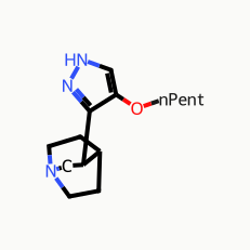 CCCCCOc1c[nH]nc1C1CN2CCC1CC2